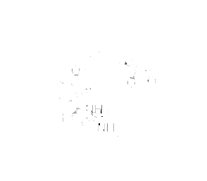 C[C@H](NS(N)(=O)=O)c1cccc(OCC2CC2CCOC(=O)C=O)c1F